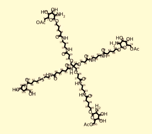 CC(=O)OCC1OC(OCCCCC(=O)NCCCNC(=O)CCOCC(COCCC(=O)NCCCNC(=O)CCCCOC2OC(COC(C)=O)C(O)C(O)C2N)(COCCC(=O)NCCCNC(=O)CCCCOC2OC(COC(C)=O)C(O)C(O)C2N)NC(=O)CCCCC(=O)NCCSSCCCC(=O)N2C[C@H](O)C[C@H]2CO)C(N)C(O)C1O